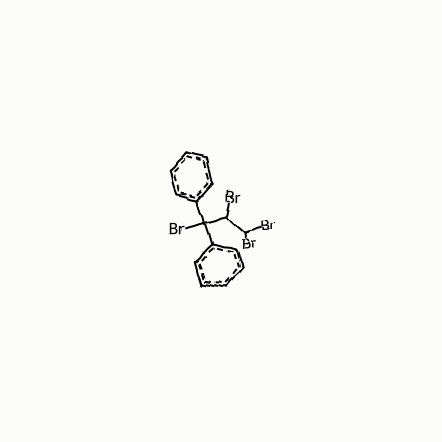 BrC(Br)C(Br)C(Br)(c1ccccc1)c1ccccc1